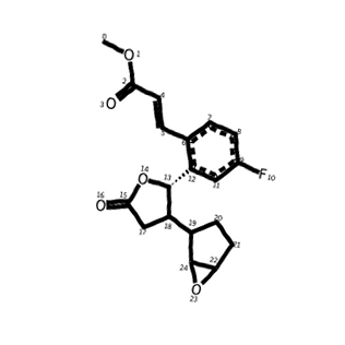 COC(=O)/C=C/c1ccc(F)cc1[C@H]1OC(=O)CC1C1CCC2OC21